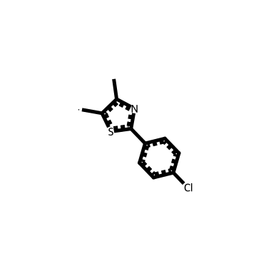 [CH2]c1sc(-c2ccc(Cl)cc2)nc1C